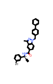 C#C[C@H](NC(=O)c1ccc2c(c1)c(C)nn2Cc1ccc(-c2ccccc2)cc1)c1cccc(C(C)C)c1